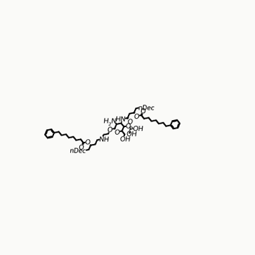 CCCCCCCCCCCC(CCNCCOC1OC(CO)C(OP(O)O)[C@H](NC(=O)CC(CCCCCCCCCCC)OC(=O)CCCCCCCc2ccccc2)C1N)OC(=O)CCCCCCCc1ccccc1